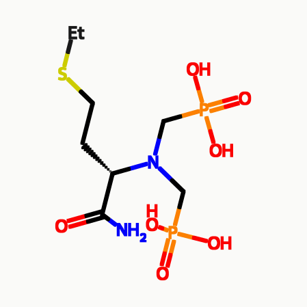 CCSCC[C@@H](C(N)=O)N(CP(=O)(O)O)CP(=O)(O)O